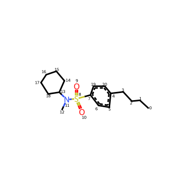 CCCCc1ccc(S(=O)(=O)N(C)C2CCCCC2)cc1